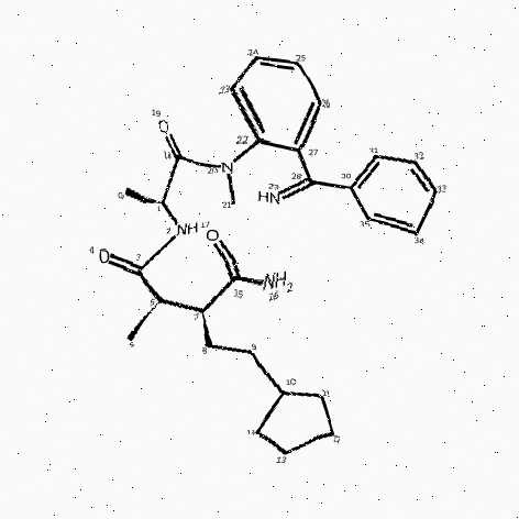 C[C@H](NC(=O)[C@H](C)[C@H](CCC1CCCC1)C(N)=O)C(=O)N(C)c1ccccc1C(=N)c1ccccc1